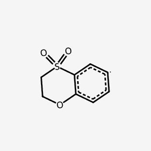 O=S1(=O)CCOc2cc[c]cc21